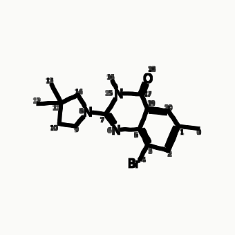 Cc1cc(Br)c2nc(N3CCC(C)(C)C3)n(C)c(=O)c2c1